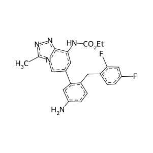 CCOC(=O)Nc1cc(-c2cc(N)ccc2Cc2ccc(F)cc2F)cn2c(C)nnc12